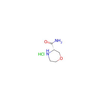 Cl.NC(=O)[C@@H]1COCCN1